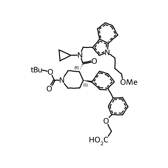 COCCCn1cc(CN(C(=O)[C@H]2CN(C(=O)OC(C)(C)C)CC[C@@H]2c2cccc(-c3cccc(OCC(=O)O)c3)c2)C2CC2)c2ccccc21